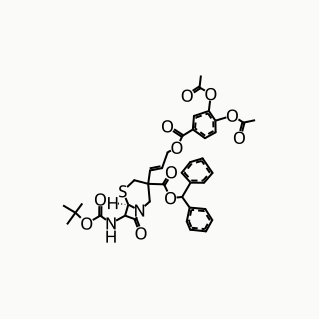 CC(=O)Oc1ccc(C(=O)OCC=CC2(C(=O)OC(c3ccccc3)c3ccccc3)CS[C@@H]3C(NC(=O)OC(C)(C)C)C(=O)N3C2)cc1OC(C)=O